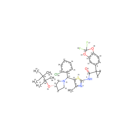 Cc1nc(NC(=O)C2(c3ccc4c(c3)OC(F)(F)O4)CC2)sc1C(c1ccccc1Cl)N1CC[C@H](O[Si](C)(C)C(C)(C)C)C1